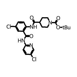 CC(C)(C)OC(=O)N1CCC(C(=O)Nc2ccc(Cl)cc2C(=O)Nc2ccc(Cl)cn2)CC1